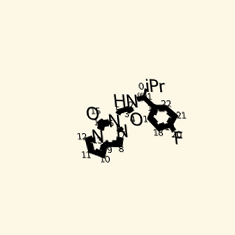 CC(C)[C@H](NC(=O)Cn1ncc2cccn2c1=O)c1ccc(F)cc1